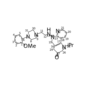 COc1ccccc1N1CCN(CCNN2CC3=C(c4cccnc42)N(C(C)C)CC(=O)C3)CC1